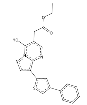 CCOC(=O)Cc1cnc2c(-c3cc(-c4ccccc4)cs3)cnn2c1O